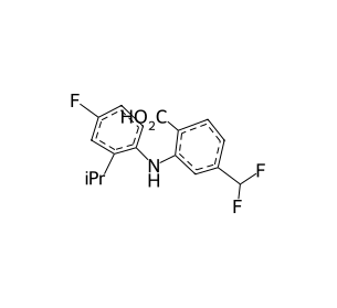 CC(C)c1cc(F)ccc1Nc1cc(C(F)F)ccc1C(=O)O